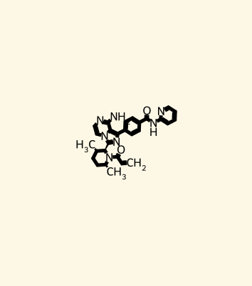 C=CC(=O)N1[C@H](c2nc(-c3ccc(C(=O)Nc4ccccn4)cc3)c3c(N)nccn23)[C@H](C)CC[C@@H]1C